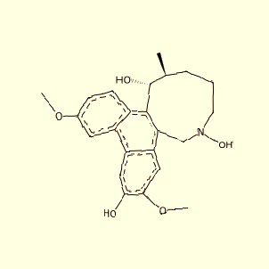 COc1ccc2c3c(c4cc(OC)c(O)cc4c2c1)CN(O)CCC[C@H](C)[C@H]3O